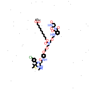 CC1=C(C)C2C(c3ccc(Cl)cc3)=N[C@@H](CC(=O)Nc3ccc(OCCOCCN(CCOCCNc4cccc5c4C(=O)N(C4CCC(=O)NC4=O)C5=O)C(=O)OCCCCCCCCCCCC(=O)OC(C)(C)C)cc3)c3nnc(C)n3C2S1